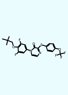 CC(C)(C)COc1c(F)cc(-n2ccnc(Sc3ccc(OC(F)(F)F)cc3)c2=O)cc1F